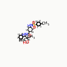 Cc1ccc(S(=O)(=O)N[C@H]2CC[C@H](C(=O)N[C@@H](c3ccccc3)C(C)(C)CO)CC2)cc1